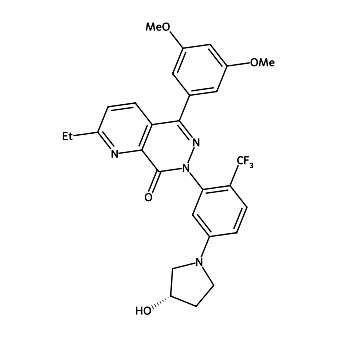 CCc1ccc2c(-c3cc(OC)cc(OC)c3)nn(-c3cc(N4CC[C@H](O)C4)ccc3C(F)(F)F)c(=O)c2n1